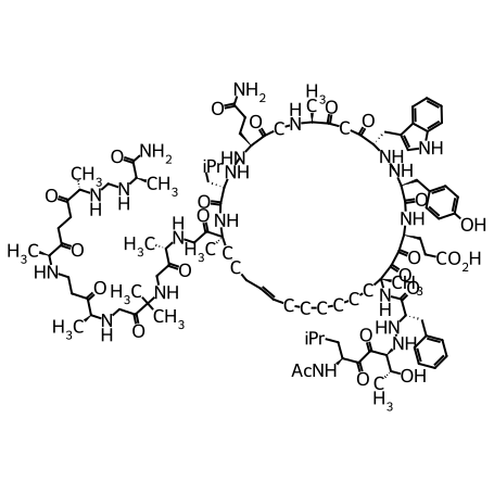 CC(=O)N[C@@H](CC(C)C)C(=O)C(=O)[C@@H](NN[C@@H](Cc1ccccc1)C(=O)N[C@]1(C)CCCCCC/C=C/CCC[C@@](C)(C(=O)CN[C@@H](C)C(=O)CNC(C)(C)C(=O)CN[C@@H](C)C(=O)CCN[C@@H](C)C(=O)CCC(=O)[C@H](C)NCN[C@H](C)C(N)=O)NC(=O)[C@H](CC(C)C)NN[C@@H](CCC(N)=O)C(=O)CN[C@@H](C)C(=O)CC(=O)[C@H](Cc2c[nH]c3ccccc23)NN[C@@H](Cc2ccc(O)cc2)C(=O)N[C@@H](CCC(=O)O)C(=O)C1=O)[C@@H](C)O